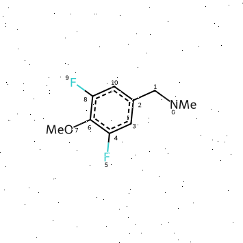 CNCc1cc(F)c(OC)c(F)c1